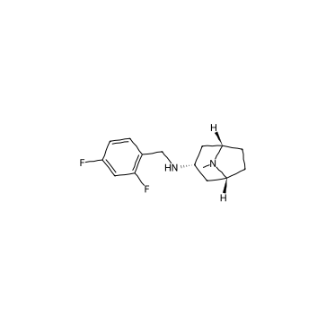 CN1[C@@H]2CC[C@H]1C[C@@H](NCc1ccc(F)cc1F)C2